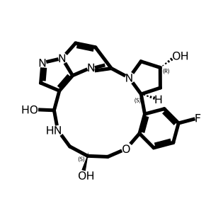 OC1NC[C@H](O)COc2ccc(F)cc2[C@@H]2C[C@@H](O)CN2c2ccn3ncc1c3n2